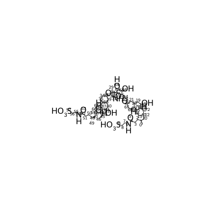 C[C@@H](CCC(=O)NCCS(=O)(=O)O)C[C@@]1(C)CC[C@H]2[C@@H]([C@@H](O)CC3C[C@H](OC[C@H]4OC(C(C)(CN)O[C@@H]5CC[C@@]6(C)C(C5)C[C@H](O)[C@H]5[C@@H]7CC[C@H]([C@H](C)CCC(=O)NCCS(=O)(=O)O)[C@@]7(C)CC[C@@H]56)[C@H](O)[C@@H]4O)CC[C@@]32C)[C@@H]1C